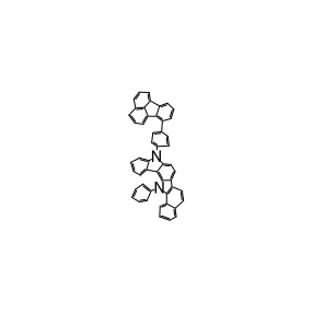 c1ccc(-n2c3c4ccccc4ccc3c3ccc4c(c5ccccc5n4-c4ccc(-c5cccc6c5-c5cccc7cccc-6c57)cc4)c32)cc1